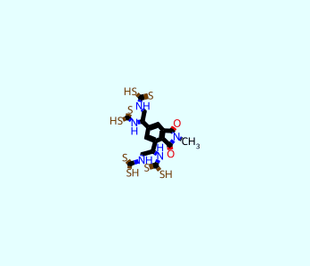 CN1C(=O)c2cc(C(CNC(=S)S)NC(=S)S)cc(C(CNC(=S)S)NC(=S)S)c2C1=O